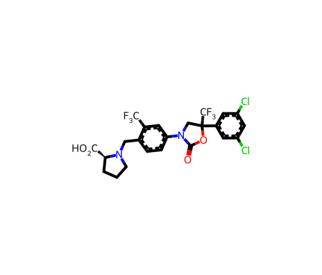 O=C(O)[C@@H]1CCCN1Cc1ccc(N2CC(c3cc(Cl)cc(Cl)c3)(C(F)(F)F)OC2=O)cc1C(F)(F)F